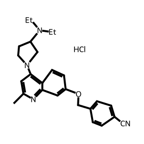 CCN(CC)C1CCN(c2cc(C)nc3cc(OCc4ccc(C#N)cc4)ccc23)C1.Cl